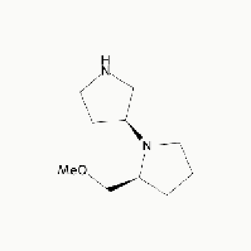 COC[C@@H]1CCCN1[C@H]1CCNC1